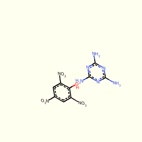 Nc1nc(N)nc(N)n1.O=[N+]([O-])c1cc([N+](=O)[O-])c(O)c([N+](=O)[O-])c1